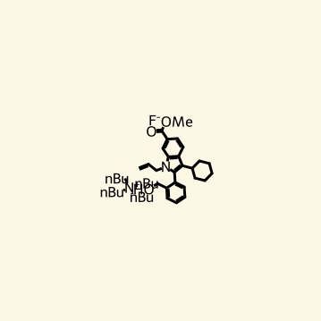 C=CCn1c(-c2ccccc2CO)c(C2CCCCC2)c2ccc(C(=O)OC)cc21.CCCC[N+](CCCC)(CCCC)CCCC.[F-]